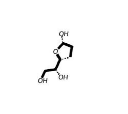 OC[C@@H](O)[C@H]1CC[C@@H](O)O1